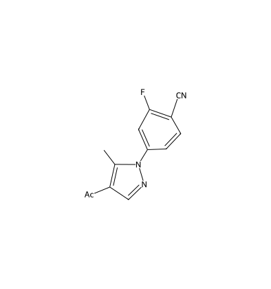 CC(=O)c1cnn(-c2ccc(C#N)c(F)c2)c1C